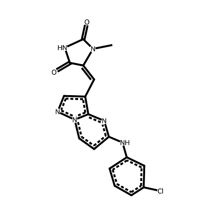 CN1C(=O)NC(=O)/C1=C\c1cnn2ccc(Nc3cccc(Cl)c3)nc12